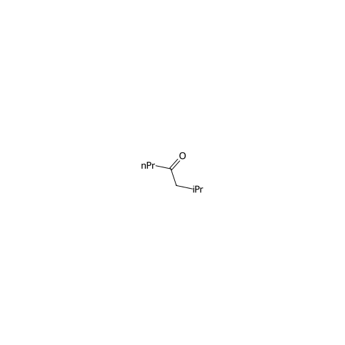 [CH2]CCC(=O)CC(C)C